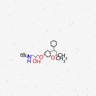 CC(C)(C)NCC(O)COc1ccc2c(c1)OC(C)(C)CC2c1ccccc1